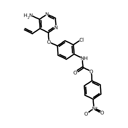 C=Cc1c(N)ncnc1Oc1ccc(NC(=O)Oc2ccc([N+](=O)[O-])cc2)c(Cl)c1